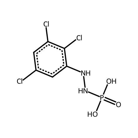 O=P(O)(O)NNc1cc(Cl)cc(Cl)c1Cl